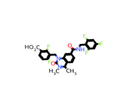 CC1c2ccc(C(=O)NCc3c(F)cc(F)cc3F)cc2N(Cc2c(F)ccc(C(=O)O)c2F)C(=O)N1C